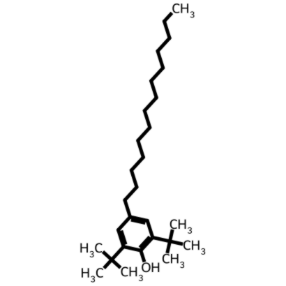 CCCCCCCCCCCCCCc1cc(C(C)(C)C)c(O)c(C(C)(C)C)c1